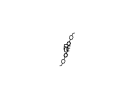 CCC1CCC(c2ccc(C(C)OC(F)(F)c3ccc(C4CCC(CC)CC4)cc3)cc2)CC1